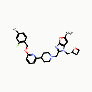 N#Cc1ccc(COc2cccc(C3CCN(Cc4nc5oc(C(=O)O)cc5n4C[C@@H]4CCO4)CC3)n2)c(F)c1